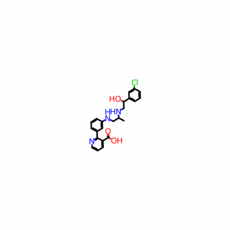 CC(CNc1cccc(-c2ncccc2C(=O)O)c1)NCC(O)c1cccc(Cl)c1